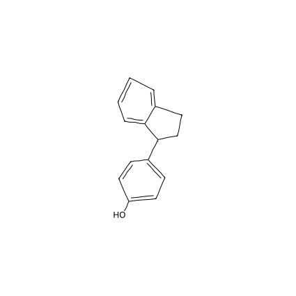 Oc1ccc([C]2CCc3ccccc32)cc1